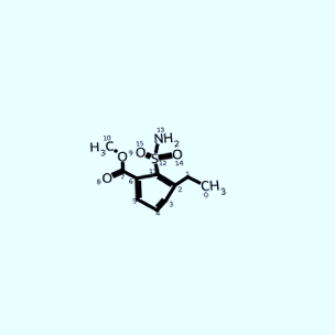 CCc1cccc(C(=O)OC)c1S(N)(=O)=O